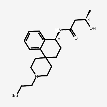 C[C@@H](O)CC(=O)N[C@H]1CCC2(CCN(CCC(C)(C)C)CC2)c2ccccc21